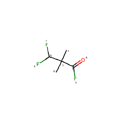 CC(C)(C(=O)F)C(F)F